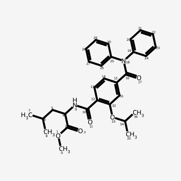 COC(=O)C(CC(C)C)NC(=O)c1ccc(C(=O)N(c2ccccc2)c2ccccc2)cc1OC(C)C